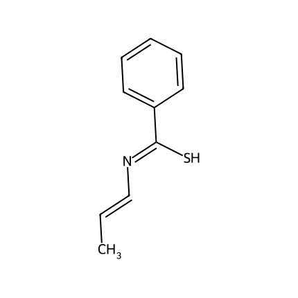 C/C=C/N=C(\S)c1ccccc1